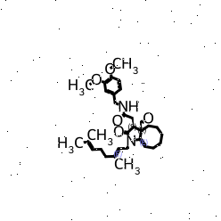 COc1ccc(CNC(=O)C[C@@H]2C(=O)N(C/C=C(\C)CCC=C(C)C)/C3=C/CCCCC[C@]32C=O)cc1OC